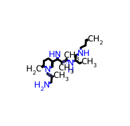 C=CCCNCC(CC)N/C(C)=C(\C)C(=N)C1=CN(/C=C(\C)CN)C(=C)CC1